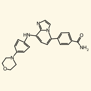 NC(=O)c1ccc(-c2ccc(Nc3ccc(N4CCOCC4)cc3)c3nccn23)cc1